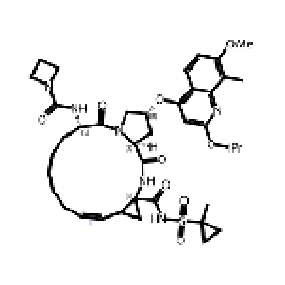 COc1ccc2c(O[C@@H]3C[C@H]4C(=O)N[C@]5(C(=O)NS(=O)(=O)C6(C)CC6)CC5/C=C\CCCCC[C@H](NC(=O)N5CCC5)C(=O)N4C3)cc(OC(C)C)nc2c1C